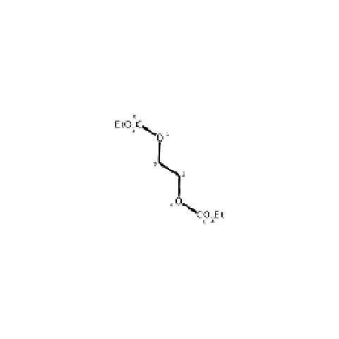 CCOC(=O)OCCOC(=O)OCC